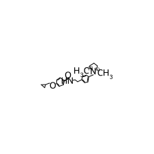 C[C@@H]1CCC[C@H](C)N1Cc1ccc(CCNC(=O)c2ccc(OCC3CC3)cc2)cc1